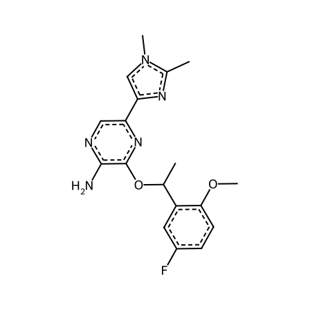 COc1ccc(F)cc1C(C)Oc1nc(-c2cn(C)c(C)n2)cnc1N